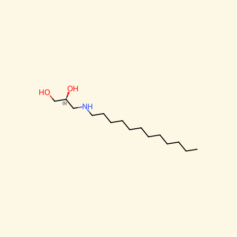 CCCCCCCCCCCCNC[C@H](O)CO